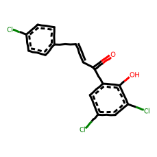 O=C(C=Cc1ccc(Cl)cc1)c1cc(Cl)cc(Cl)c1O